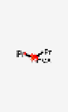 CCCCCCP(=O)(OCCCCCC(C)C)OCCCCCC(C)C